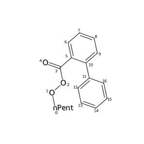 [CH2]CCCCOOC(=O)c1ccccc1-c1ccccc1